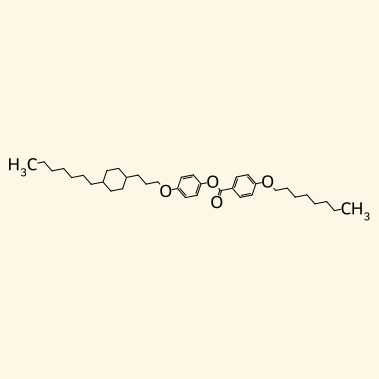 CCCCCCCCOc1ccc(C(=O)Oc2ccc(OCCCC3CCC(CCCCCCC)CC3)cc2)cc1